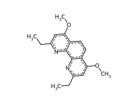 CCc1cc(OC)c2ccc3c(OC)cc(CC)nc3c2n1